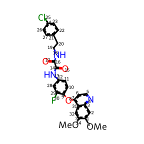 COc1cc2nccc(Oc3ccc(NC(=O)C(=O)NCCc4ccc(Cl)cc4)cc3F)c2cc1OC